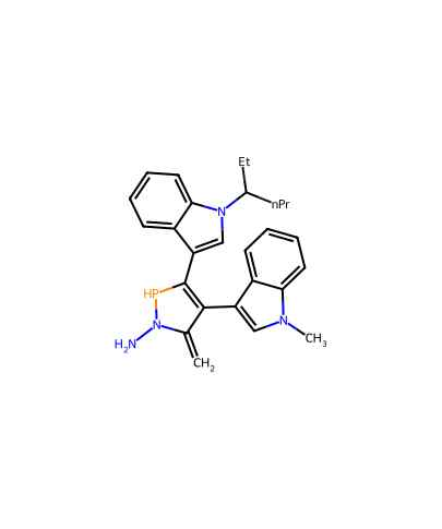 C=C1C(c2cn(C)c3ccccc23)=C(c2cn(C(CC)CCC)c3ccccc23)PN1N